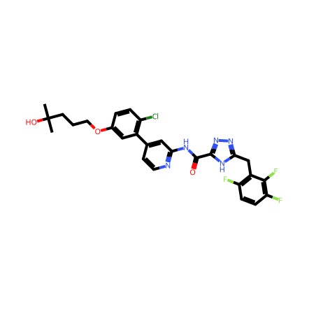 CC(C)(O)CCCOc1ccc(Cl)c(-c2ccnc(NC(=O)c3nnc(Cc4c(F)ccc(F)c4F)[nH]3)c2)c1